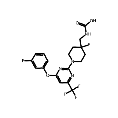 O=C(O)NCC1(F)CCN(c2nc(Oc3cccc(F)c3)cc(C(F)(F)F)n2)CC1